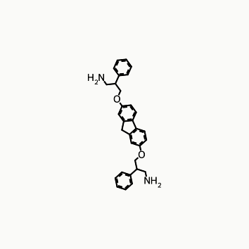 NCC(COc1ccc2c(c1)Cc1cc(OCC(CN)c3ccccc3)ccc1-2)c1ccccc1